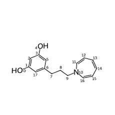 Oc1cc(O)cc(CCCN2C=CC=CC=C2)c1